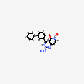 Nc1nc(-c2cccc(-c3ccccc3)c2)c2c(=O)n(O)ccc2n1